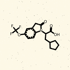 O=C(O)C(CC1CCCC1)N1C(=O)Cc2cc(OC(F)(F)F)ccc21